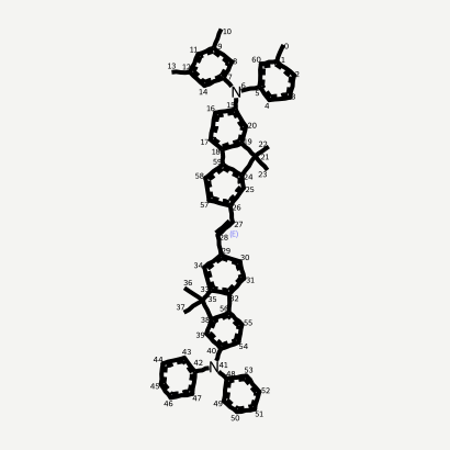 Cc1cccc(N(c2cc(C)cc(C)c2)c2ccc3c(c2)C(C)(C)c2cc(/C=C/c4ccc5c(c4)C(C)(C)c4cc(N(c6ccccc6)c6ccccc6)ccc4-5)ccc2-3)c1